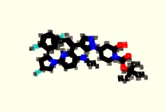 C=Nc1ccc(N2C[C@@H](F)C[C@@H]2c2cc(F)ccc2F)nc1/C(=C\C)c1cnn(C2CCN(C(=O)OC(C)(C)C)C(O)C2)c1